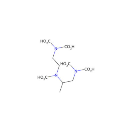 CC(CN(C(=O)O)C(=O)O)N(CCN(C(=O)O)C(=O)O)C(=O)O